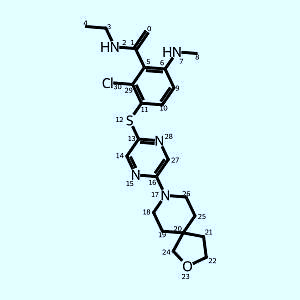 C=C(NCC)c1c(NC)ccc(Sc2cnc(N3CCC4(CCOC4)CC3)cn2)c1Cl